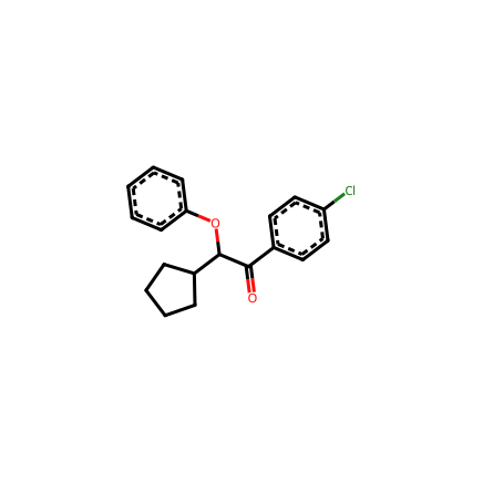 O=C(c1ccc(Cl)cc1)C(Oc1ccccc1)C1CCCC1